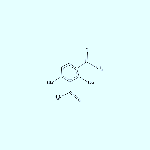 CC(C)(C)c1ccc(C(N)=O)c(C(C)(C)C)c1C(N)=O